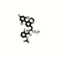 O=C(N[C@@H](Cc1ccc(-c2c(Cl)cc(F)cc2Cl)c2c1OCCO2)C(=O)O)c1c(F)cccc1OC(F)F